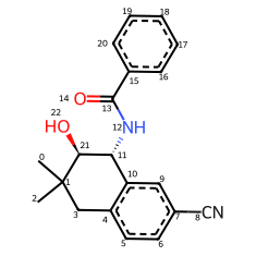 CC1(C)Cc2ccc(C#N)cc2[C@@H](NC(=O)c2ccccc2)[C@@H]1O